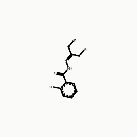 CC(C)CC(CC(C)C)=NNC(=O)c1ccccc1O